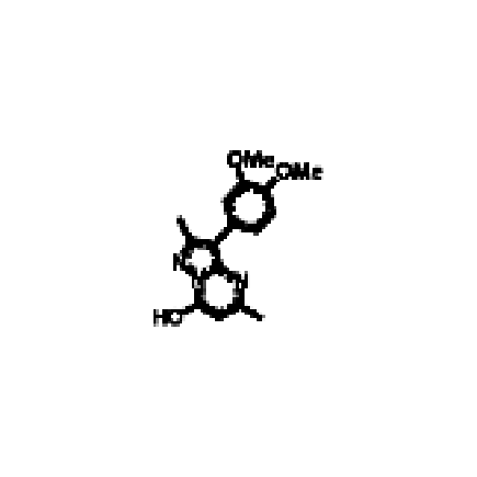 COc1ccc(-c2c(C)nn3c(O)cc(C)nc23)cc1OC